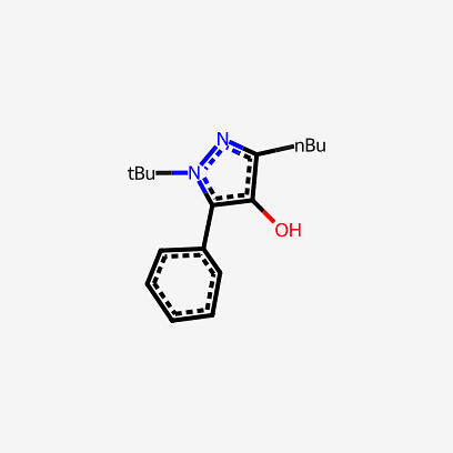 CCCCc1nn(C(C)(C)C)c(-c2ccccc2)c1O